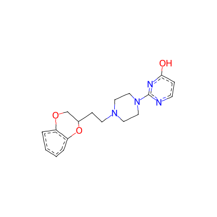 Oc1ccnc(N2CCN(CCC3COc4ccccc4O3)CC2)n1